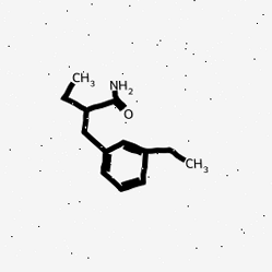 CCc1cccc(CC(CC)C(N)=O)c1